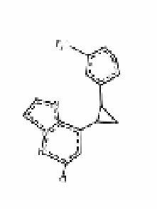 FC(F)(F)c1cccc(C2CC2c2cc(Cl)nn3ccnc23)c1